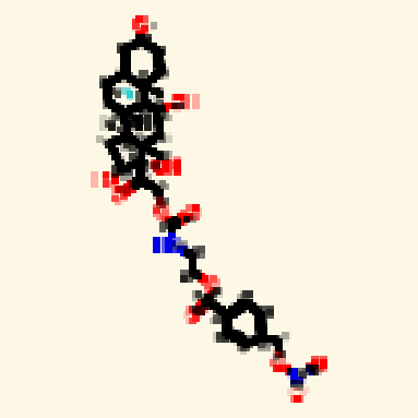 C[C@]12C=CC(=O)C=C1CC[C@H]1[C@@H]3C[C@@H](O)[C@](O)(C(=O)COC(=O)NCCOC(=O)c4ccc(CO[N+](=O)[O-])cc4)[C@@]3(C)C[C@H](O)[C@@]12F